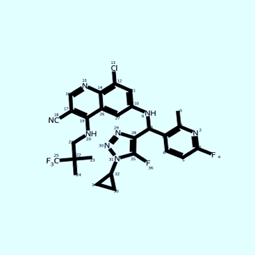 Cc1nc(F)ccc1C(Nc1cc(Cl)c2ncc(C#N)c(NCC(C)(C)C(F)(F)F)c2c1)c1nnn(C2CC2)c1F